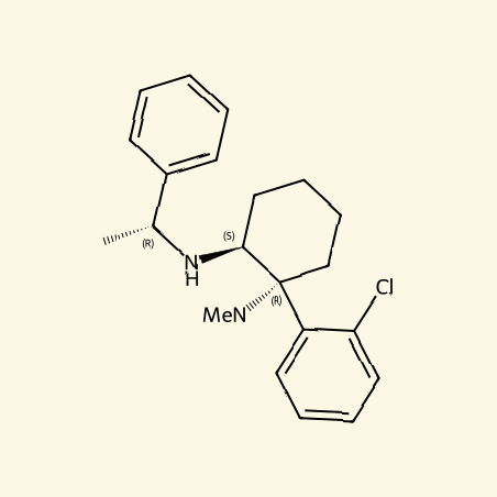 CN[C@@]1(c2ccccc2Cl)CCCC[C@@H]1N[C@H](C)c1ccccc1